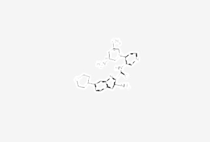 C[C@@H]1C[C@H](N)CN(c2ccncc2NC(=O)c2nc3cc(C4CCOCC4)ccc3cc2N)C1